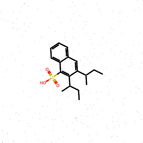 CCC(C)c1cc2ccccc2c(S(=O)(=O)O)c1C(C)CC